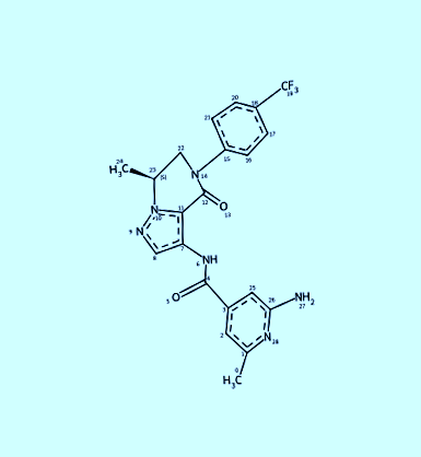 Cc1cc(C(=O)Nc2cnn3c2C(=O)N(c2ccc(C(F)(F)F)cc2)C[C@@H]3C)cc(N)n1